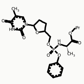 Cc1cn(C2CCC(COP(=O)(N[C@@H](C)C(=O)OC(C)C)Oc3ccccc3)O2)c(=O)[nH]c1=O